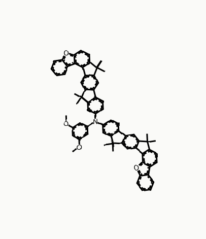 COc1cc(OC)cc(N(c2ccc3c(c2)C(C)(C)c2cc4c(cc2-3)C(C)(C)c2ccc3c(oc5ccccc53)c2-4)c2ccc3c(c2)C(C)(C)c2cc4c(cc2-3)C(C)(C)c2ccc3oc5ccccc5c3c2-4)c1